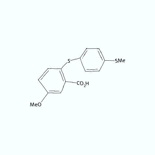 COc1ccc(Sc2ccc(SC)cc2)c(C(=O)O)c1